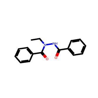 CCN(NC(=O)c1ccccc1)C(=O)c1ccccc1